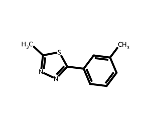 Cc1cccc(-c2nnc(C)s2)c1